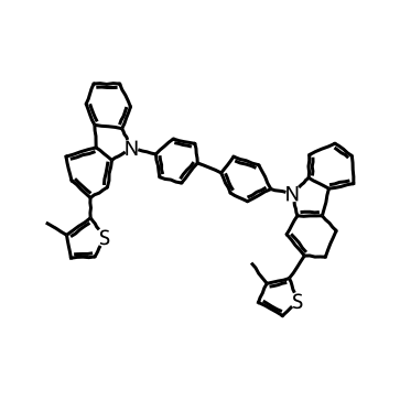 Cc1ccsc1C1=Cc2c(c3ccccc3n2-c2ccc(-c3ccc(-n4c5ccccc5c5ccc(-c6sccc6C)cc54)cc3)cc2)CC1